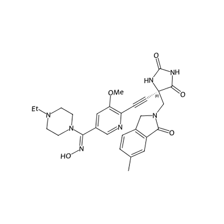 CCN1CCN(C(=NO)c2cnc(C#C[C@]3(CN4Cc5ccc(C)cc5C4=O)NC(=O)NC3=O)c(OC)c2)CC1